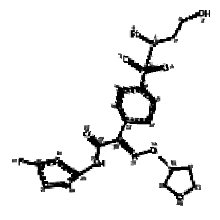 CCN(CCO)S(=O)(=O)c1ccc(/C(=N\O[C@@H]2CCOC2)C(=O)Nc2ncc(F)s2)cc1